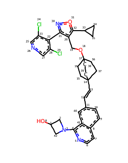 OC1CN(c2nccc3ccc(/C=C/C45CCC(OCc6c(-c7c(Cl)cncc7Cl)noc6C6CC6)(CC4)CC5)cc23)C1